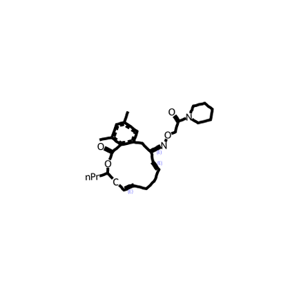 CCCC1C/C=C/CC/C=C/C(=N/OCC(=O)N2CCCCC2)Cc2cc(C)cc(C)c2C(=O)O1